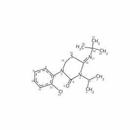 CC(C)N1C(=O)N(c2ccccc2Cl)CS/C1=N\C(C)(C)C